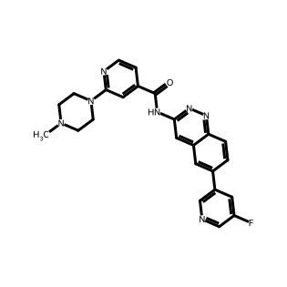 CN1CCN(c2cc(C(=O)Nc3cc4cc(-c5cncc(F)c5)ccc4nn3)ccn2)CC1